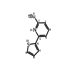 CC(C)(C)c1cccc(-c2cccs2)n1